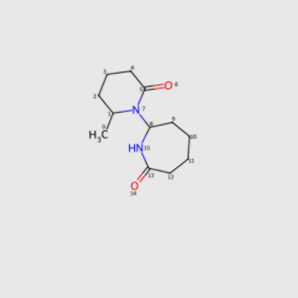 CC1CCCC(=O)N1C1CCCCC(=O)N1